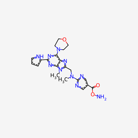 CN(Cc1nc2c(N3CCOCC3)nc(-c3ccc[nH]3)nc2n1C)c1ncc(C(=O)ON)cn1